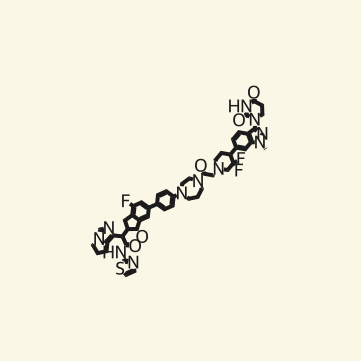 Cn1nc(N2CCC(=O)NC2=O)c2ccc(C3CCN(CC(=O)N4CCCN(c5ccc(-c6cc(F)c7c(c6)C(=O)C(C(C(=O)Nc6nccs6)c6ncn8c6CCC8)C7)cc5)CC4)CC3(F)F)cc21